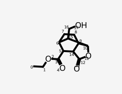 CCOC(=O)C1C2CCC3C(OC(=O)C31)C2CO